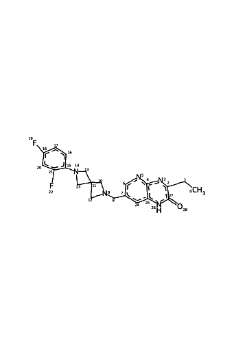 CCc1nc2ncc(CN3CC4(C3)CN(c3ccc(F)cc3F)C4)cc2[nH]c1=O